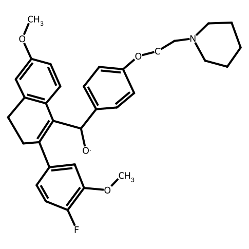 COc1ccc2c(c1)CCC(c1ccc(F)c(OC)c1)=C2C([O])c1ccc(OCCN2CCCCC2)cc1